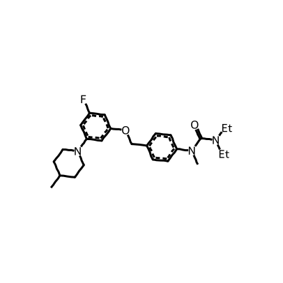 CCN(CC)C(=O)N(C)c1ccc(COc2cc(F)cc(N3CCC(C)CC3)c2)cc1